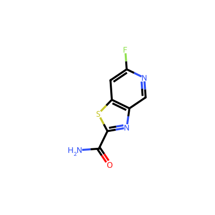 NC(=O)c1nc2cnc(F)cc2s1